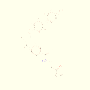 COC(=O)CCNC(=O)c1ccc(CC(C)COc2ccc(-c3ccc(C(F)(F)F)cc3)cc2)cc1